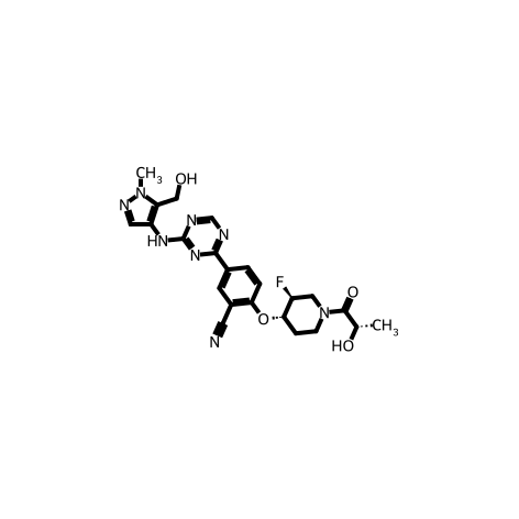 C[C@H](O)C(=O)N1CC[C@H](Oc2ccc(-c3ncnc(Nc4cnn(C)c4CO)n3)cc2C#N)[C@@H](F)C1